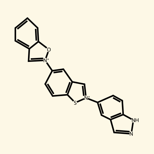 c1ccc2o[n+](-c3ccc4s[n+](-c5ccc6[nH]ncc6c5)cc4c3)cc2c1